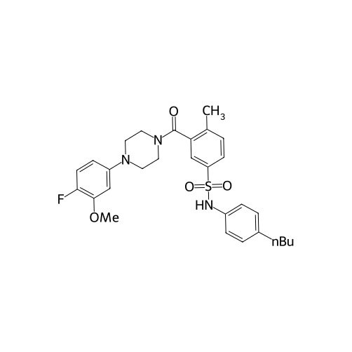 CCCCc1ccc(NS(=O)(=O)c2ccc(C)c(C(=O)N3CCN(c4ccc(F)c(OC)c4)CC3)c2)cc1